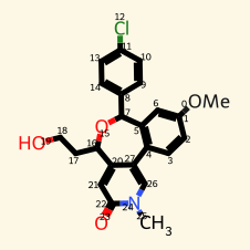 COc1ccc2c(c1)C(c1ccc(Cl)cc1)OC(CCO)c1cc(=O)n(C)cc1-2